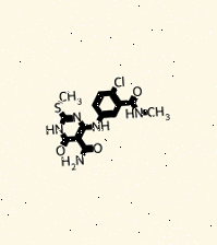 CNC(=O)c1cc(Nc2nc(SC)[nH]c(=O)c2C(N)=O)ccc1Cl